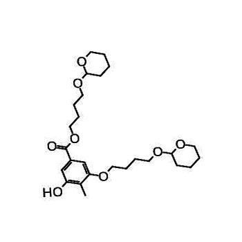 Cc1c(O)cc(C(=O)OCCCCOC2CCCCO2)cc1OCCCCOC1CCCCO1